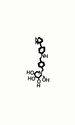 OC[C@@H]1[C@@H](O)[C@H](O)[C@@H](O)CN1Cc1ccc(CNc2ccc(-c3cccnn3)cc2)cc1